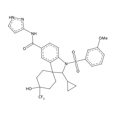 COc1cccc(S(=O)(=O)N2c3ccc(C(=O)Nc4cc[nH]n4)cc3C3(CCC(O)(C(F)(F)F)CC3)C2C2CC2)c1